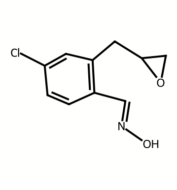 ON=Cc1ccc(Cl)cc1CC1CO1